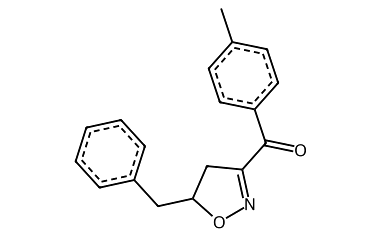 Cc1ccc(C(=O)C2=NOC(Cc3ccccc3)C2)cc1